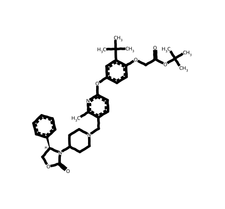 Cc1nc(Oc2ccc(OCC(=O)OC(C)(C)C)c(C(C)(C)C)c2)ccc1CN1CCC(N2C(=O)OC[C@H]2c2ccccc2)CC1